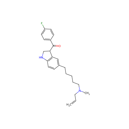 C=CCN(C)CCCCCc1ccc2c(c1)C(C(=O)c1ccc(F)cc1)CN2